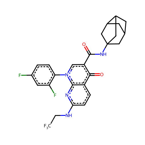 O=C(NC12CC3CC(C1)C(C3)C2)c1cn(-c2ccc(F)cc2F)c2nc(NCC(F)(F)F)ccc2c1=O